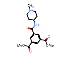 COC(=O)c1cc(C(=O)NC2CCN(C)CC2)cc(C(=O)OC)c1